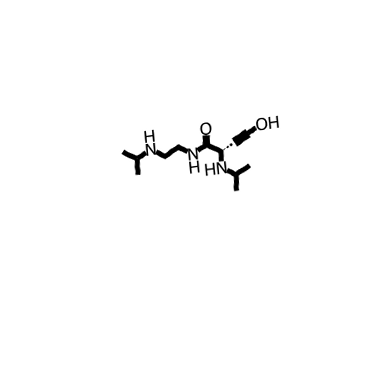 CC(C)NCCNC(=O)[C@H](C#CO)NC(C)C